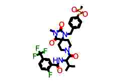 CC(C)C(NC(=O)c1cc(C(F)(F)F)ccc1F)C(=O)N1CCC2(CC1)C(=O)N(C)C(=O)N2Cc1ccc(S(C)(=O)=O)cc1